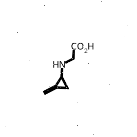 C=C1CC1NCC(=O)O